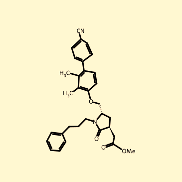 COC(=O)C[C@@H]1C[C@@H](COc2ccc(-c3ccc(C#N)cc3)c(C)c2C)N(CCCc2ccccc2)C1=O